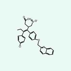 CCC(=C(c1ccc(OCc2ccc3ccccc3n2)cc1)C(CC(=O)O)C[N+](=O)[O-])c1ccc(Cl)cc1